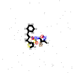 Cc1noc(NS(=O)(=O)c2ccsc2C(C)C=Cc2ccccc2)c1Br